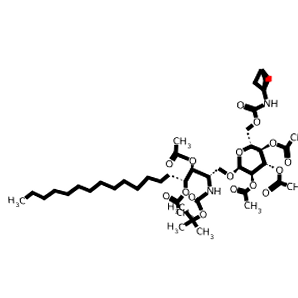 CCCCCCCCCCCCCC[C@@H](OC(C)=O)[C@@H](OC(C)=O)[C@H](CO[C@H]1O[C@H](COC(=O)NC23CC(C2)C3)[C@@H](OC(C)=O)[C@H](OC(C)=O)[C@H]1OC(C)=O)NC(=O)OC(C)(C)C